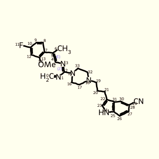 C=N/C(=N\C=C(/C)c1ccc(F)cc1OC)N1CCN(CCCc2c[nH]c3ccc(C#N)cc23)CC1